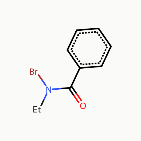 CCN(Br)C(=O)c1ccccc1